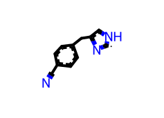 N#Cc1ccc(Cc2c[nH][c]n2)cc1